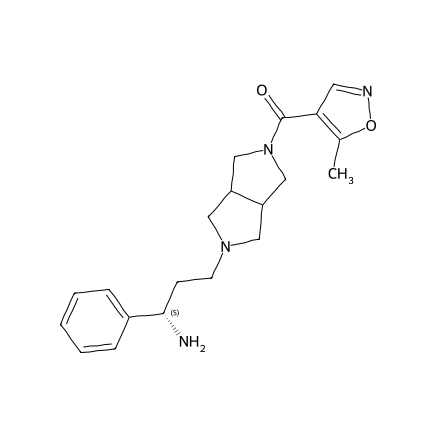 Cc1oncc1C(=O)N1CC2CN(CC[C@H](N)c3ccccc3)CC2C1